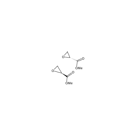 COC(=O)[C@@H]1CO1.COC(=O)[C@H]1CO1